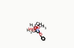 CCC1(C(=O)O)CC(OCc2ccccc2)CN1C(=O)OC(C)(C)C